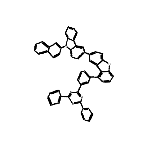 c1ccc(-c2nc(-c3ccccc3)nc(-c3cccc(-c4cccc5oc6ccc(-c7ccc8c(c7)c7ccccc7n8-c7ccc8ccccc8c7)cc6c45)c3)n2)cc1